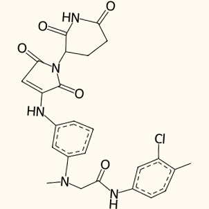 Cc1ccc(NC(=O)CN(C)c2cccc(NC3=CC(=O)N(C4CCC(=O)NC4=O)C3=O)c2)cc1Cl